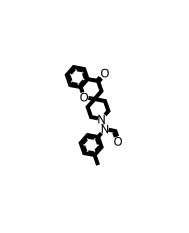 Cc1cccc(N(C=O)N2CCC3(CC2)CC(=O)c2ccccc2O3)c1